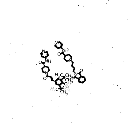 CC(C)(C)c1cc(/C=C/C(=O)N2CCC(C(=O)Nc3ccncc3)CC2)cc(C(C)(C)C)c1O.O=C(Nc1ccncc1)C1CCN(CCCCN2C(=O)c3ccccc3C2=O)CC1